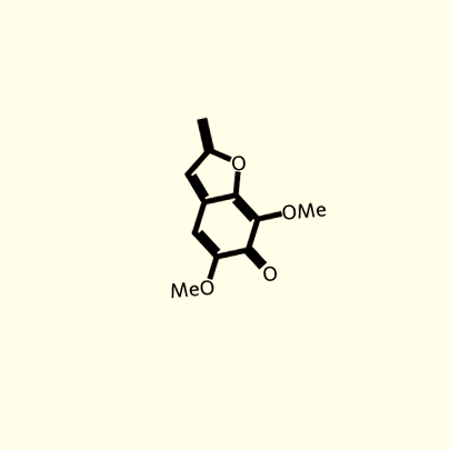 C=c1cc2c(o1)=C(OC)C(=O)C(OC)=C2